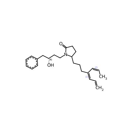 C=C/C=C(\C=C/C)CCCC1CCC(=O)N1CC[C@H](O)Cc1ccccc1